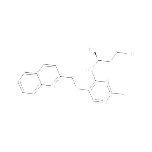 CCCC[C@@H](CCO)Nc1nc(C)ncc1OCc1ccc2ccccc2n1